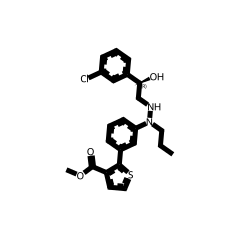 CCCN(NC[C@H](O)c1cccc(Cl)c1)c1cccc(-c2sccc2C(=O)OC)c1